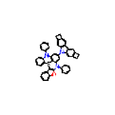 c1ccc(N2c3ccccc3B3c4c2cc(-n2c5cc6c(cc5c5cc7c(cc52)CC7)CC6)cc4N(c2ccccc2)c2oc4ccccc4c23)cc1